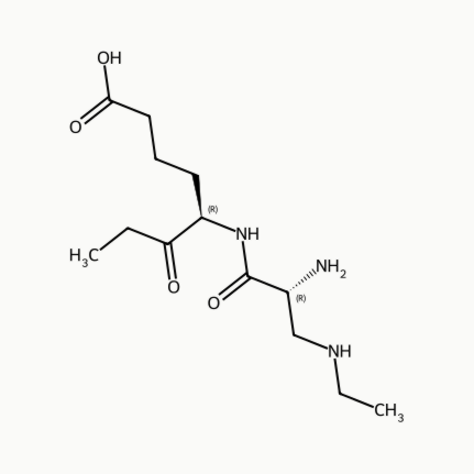 CCNC[C@@H](N)C(=O)N[C@H](CCCC(=O)O)C(=O)CC